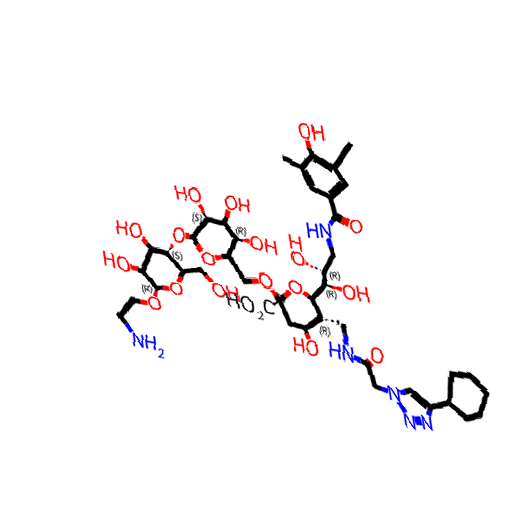 Cc1cc(C(=O)NC[C@@H](O)[C@@H](O)C2O[C@@](OCC3OC(O[C@@H]4C(CO)O[C@@H](OCCN)C(O)C4O)[C@@H](O)C(O)[C@H]3O)(C(=O)O)CC(O)[C@H]2CNC(=O)Cn2cc(C3CCCCC3)nn2)cc(C)c1O